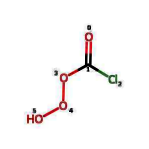 O=C(Cl)OOO